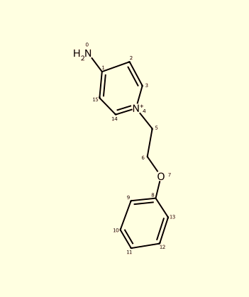 Nc1cc[n+](CCOc2ccccc2)cc1